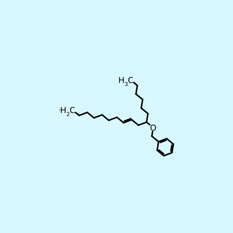 [CH2]CCCCCCC=CCC(CCCCCC)OCc1ccccc1